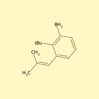 Bc1cccc(C=C(C)C)c1C(C)(C)C